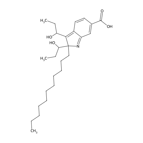 CCCCCCCCCCCC1(C(O)CC)N=c2cc(C(=O)O)ccc2=C1C(O)CC